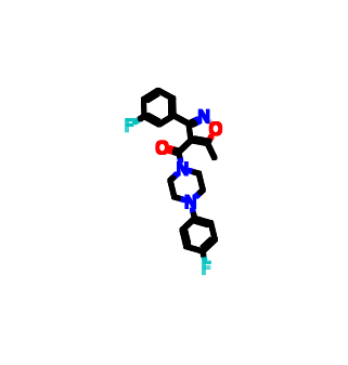 Cc1onc(-c2cccc(F)c2)c1C(=O)N1CCN(c2ccc(F)cc2)CC1